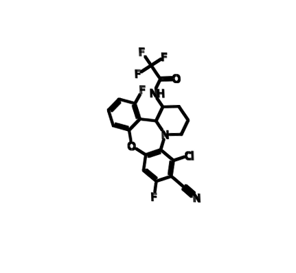 N#Cc1c(F)cc2c(c1Cl)N1CCCC(NC(=O)C(F)(F)F)C1c1c(F)cccc1O2